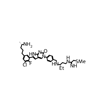 CC[C@@H](CCNC(=N)CSC)NCc1ccc(-n2cc3cc(-c4cc(CCC[C@H](C)N)cc(Cl)c4F)[nH]c3nc2=O)cc1